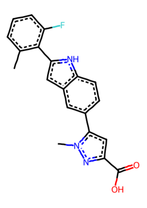 Cc1cccc(F)c1-c1cc2cc(-c3cc(C(=O)O)nn3C)ccc2[nH]1